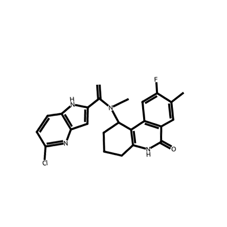 C=C(c1cc2nc(Cl)ccc2[nH]1)N(C)C1CCCc2[nH]c(=O)c3cc(C)c(F)cc3c21